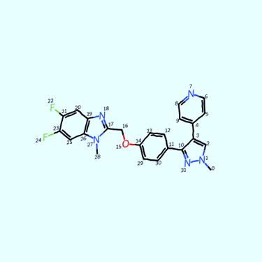 Cn1cc(-c2ccncc2)c(-c2ccc(OCc3nc4cc(F)c(F)cc4n3C)cc2)n1